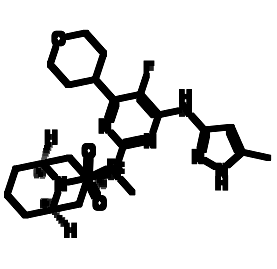 CCS(=O)(=O)N1[C@@H]2CCC[C@H]1C[C@@H](N(C)c1nc(Nc3cc(C)[nH]n3)c(F)c(C3CCOCC3)n1)C2